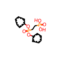 O=P(O)(O)CCP(=O)(Oc1ccccc1)Oc1ccccc1